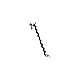 CCCCCCCCCCCCCCCCCC(=O)[PH]=O